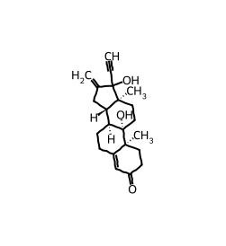 C#CC1(O)C(=C)C[C@H]2[C@@H]3CCC4=CC(=O)CC[C@]4(C)[C@]3(O)CC[C@@]21C